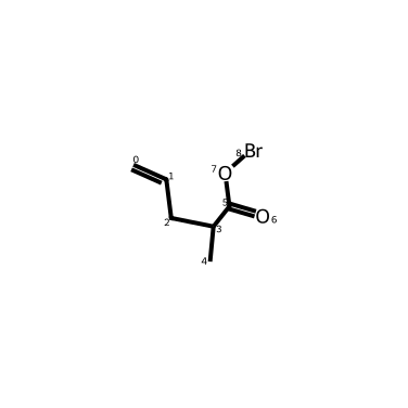 C=CCC(C)C(=O)OBr